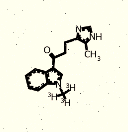 [3H]C([3H])([3H])n1cc(C(=O)CCc2nc[nH]c2C)c2ccccc21